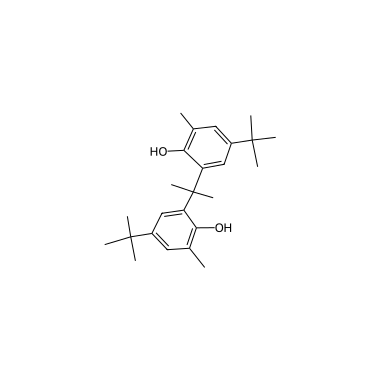 Cc1cc(C(C)(C)C)cc(C(C)(C)c2cc(C(C)(C)C)cc(C)c2O)c1O